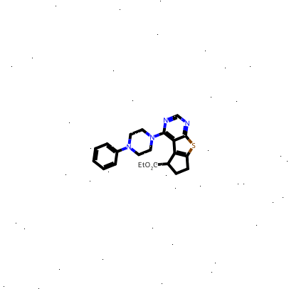 CCOC(=O)C1CCc2sc3ncnc(N4CCN(c5ccccc5)CC4)c3c21